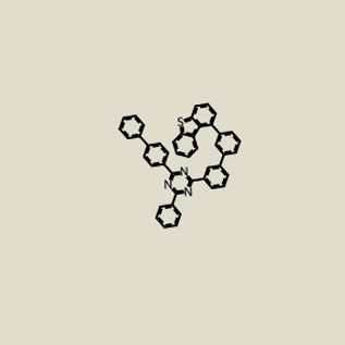 c1ccc(-c2ccc(-c3nc(-c4ccccc4)nc(-c4cccc(-c5cccc(-c6cccc7sc8ccccc8c67)c5)c4)n3)cc2)cc1